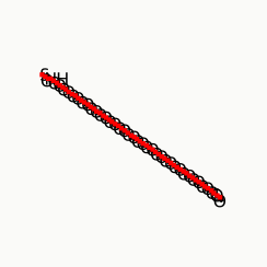 CSCCC(=O)NCCOCCOCCOCCOCCOCCOCCOCCOCCOCCOCCOCCOCCOCCOCCOCCOCCOCCOCCOCCOCCOCCOCCOCCOCCOCCOCCOCCOCCOCCOCCOCCOCCOCCOCCOCCOCCC(C)=O